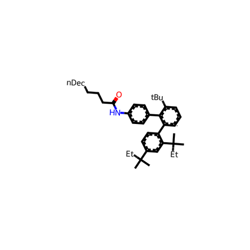 CCCCCCCCCCCCCC(=O)Nc1ccc(-c2c(-c3ccc(C(C)(C)CC)cc3C(C)(C)CC)[c]ccc2C(C)(C)C)cc1